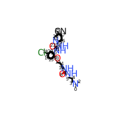 CN(C)CCCNC(=O)NCCCOc1ccc(Cl)cc1NC(=O)Nc1ccc(C#N)cn1